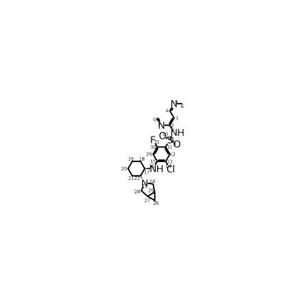 C=N/C(=C\C=N/C)NS(=O)(=O)c1cc(Cl)c(N[C@@H]2CCCC[C@H]2N2CC3CC3C2)cc1F